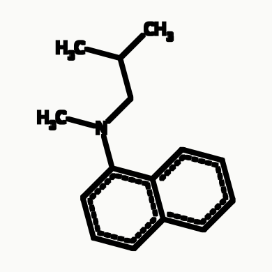 CC(C)CN(C)c1cccc2ccccc12